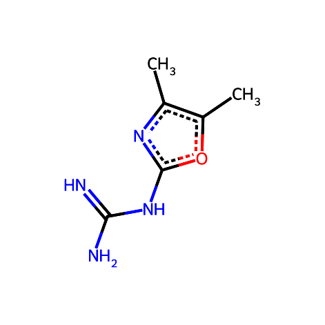 Cc1nc(NC(=N)N)oc1C